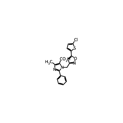 Cc1nc(-c2ccccc2)n(Cc2cc(-c3ccc(Cl)s3)on2)c1C(=O)O